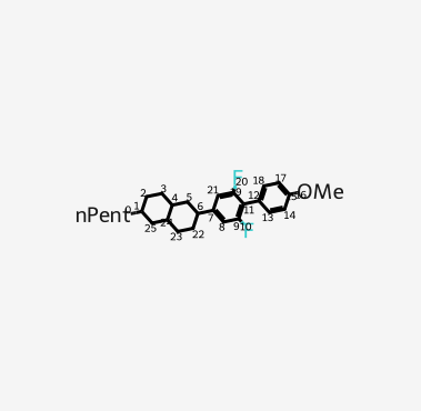 CCCCCC1CCC2CC(c3cc(F)c(-c4ccc(OC)cc4)c(F)c3)CCC2C1